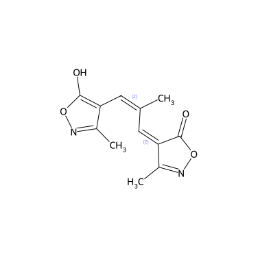 CC1=NOC(=O)/C1=C\C(C)=C/c1c(C)noc1O